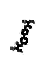 C=C(C)C(=O)OC1=CCC=C(c2ccc(OC(=O)C(=C)C)cc2)C=C1